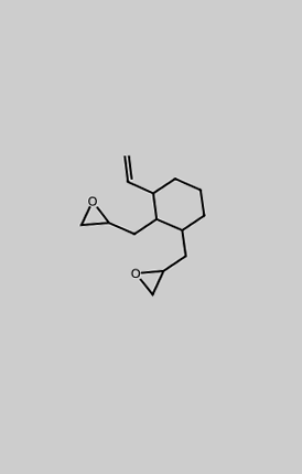 C=CC1CCCC(CC2CO2)C1CC1CO1